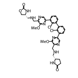 COc1nc(-c2cccc(-c3cccc(-c4cnc(CNC[C@@H]5COC(=O)N5)c(OC)n4)c3Cl)c2Cl)cnc1CNC[C@@H]1CCC(=O)N1